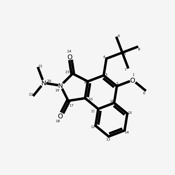 COc1c(CC(C)(C)C)c2c(c3ccccc13)C(=O)N(N(C)C)C2=O